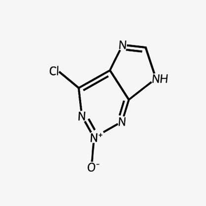 [O-][n+]1nc(Cl)c2nc[nH]c2n1